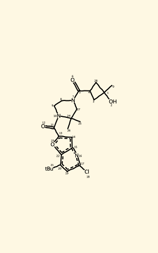 CC1(O)CC(C(=O)N2CCN(C(=O)c3cc4nc(Cl)cc(C(C)(C)C)c4o3)C(C)(C)C2)C1